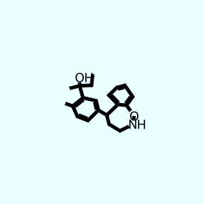 CCC(C)(O)c1cc(C2CCNOc3ccccc32)ccc1C